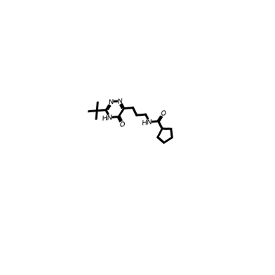 CC(C)(C)c1nnc(CCCNC(=O)C2CCCC2)c(=O)[nH]1